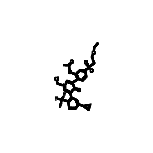 CCOCCS(=O)(=O)c1ccc(-c2cn(CCl)cc(-c3cc(C4CC4)ccc3C(F)(F)F)c2=O)c(OC(C)=O)c1